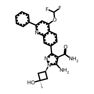 C[C@]1(O)C[C@@H](n2nc(-c3ccc4c(OC(F)F)cc(-c5ccccc5)nc4c3)c(C(N)=O)c2N)C1